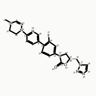 CN1C=NN(c2ccc(-c3ccc(N4C[C@H](Cn5ccnn5)OC4=O)cc3F)cn2)CC1